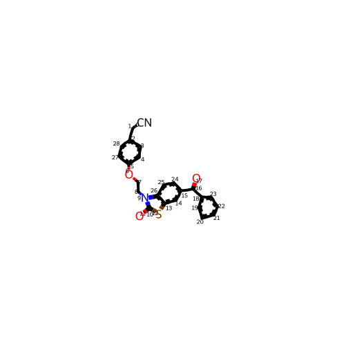 N#CCc1ccc(OCCn2c(=O)sc3cc(C(=O)c4ccccc4)ccc32)cc1